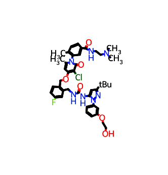 Cc1ccc(C(=O)NCCN(C)C)cc1-n1c(C)cc(OCc2ccc(F)cc2CNC(=O)Nc2cc(C(C)(C)C)nn2-c2cccc(OCCO)c2)c(Cl)c1=O